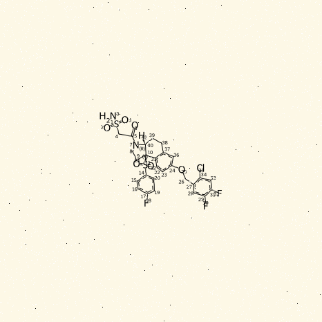 NS(=O)(=O)CC(=O)N1CC[C@@]2(S(=O)(=O)c3ccc(F)cc3)c3ccc(OCc4cc(F)c(F)cc4Cl)cc3CC[C@@H]12